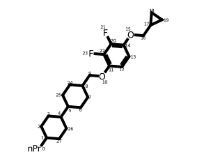 CCCC1CCC(C2CCC(COc3ccc(OCC4CC4)c(F)c3F)CC2)CC1